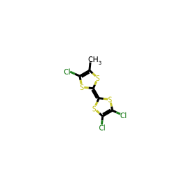 CC1=C(Cl)SC(=C2SC(Cl)=C(Cl)S2)S1